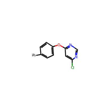 CC(C)c1ccc(Oc2cc(Cl)ncn2)cc1